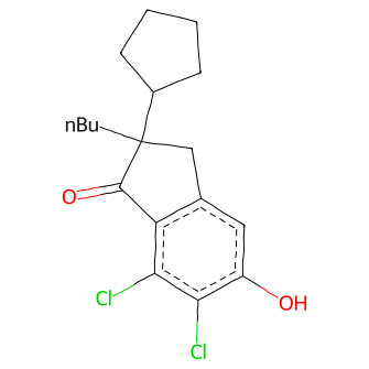 CCCCC1(C2CCCC2)Cc2cc(O)c(Cl)c(Cl)c2C1=O